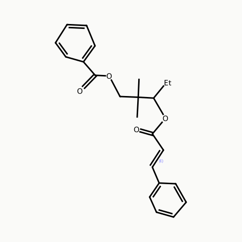 CCC(OC(=O)/C=C/c1ccccc1)C(C)(C)COC(=O)c1ccccc1